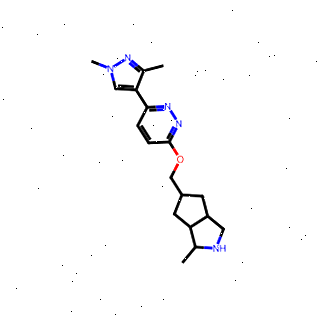 Cc1nn(C)cc1-c1ccc(OCC2CC3CNC(C)C3C2)nn1